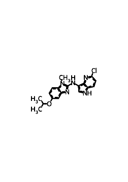 CC(C)Oc1ccc2c(c1)nc(Nc1c[nH]c3ccc(Cl)nc13)n2C